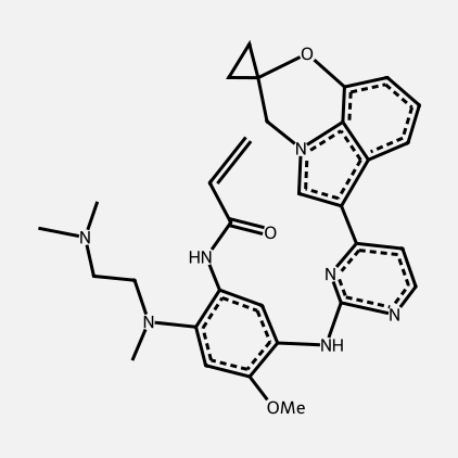 C=CC(=O)Nc1cc(Nc2nccc(-c3cn4c5c(cccc35)OC3(CC3)C4)n2)c(OC)cc1N(C)CCN(C)C